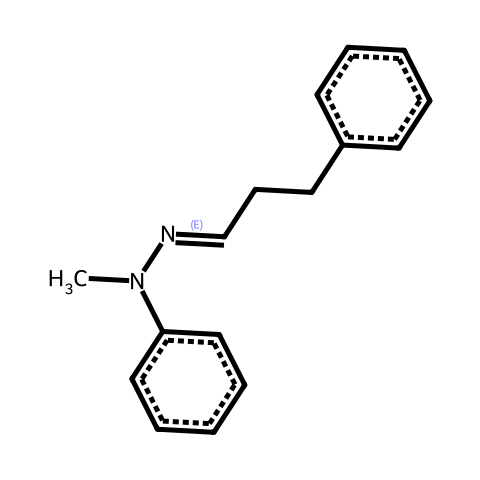 CN(/N=C/CCc1ccccc1)c1ccccc1